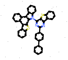 c1ccc(-c2ccc(-c3nc(-n4c5ccccc5c5c6ccccc6c6c7ccccc7sc6c54)c4sc5ccccc5c4n3)cc2)cc1